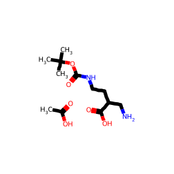 CC(=O)O.CC(C)(C)OC(=O)NCCC(CN)C(=O)O